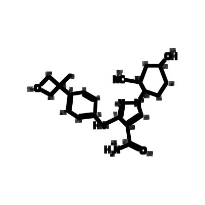 CC1(c2ccc(Nc3nn(C4CCC(O)CC4C#N)cc3C(N)=O)cc2)COC1